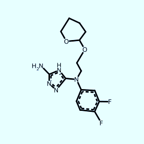 Nc1nnc(N(CCOC2CCCCO2)c2ccc(F)c(F)c2)[nH]1